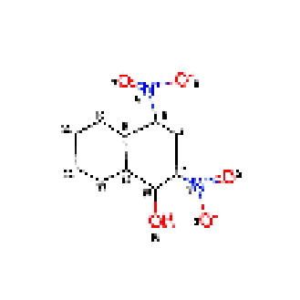 O=[N+]([O-])C1CC([N+](=O)[O-])C2CCCCC2C1O